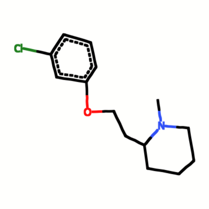 CN1CCCCC1CCOc1cccc(Cl)c1